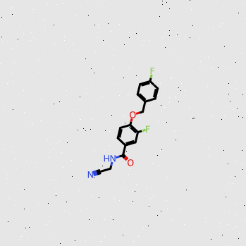 N#CCNC(=O)c1ccc(OCc2ccc(F)cc2)c(F)c1